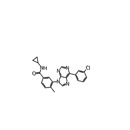 Cc1ccc(C(=O)NC2CC2)cc1-n1cnc2c(-c3cccc(Cl)c3)ncnc21